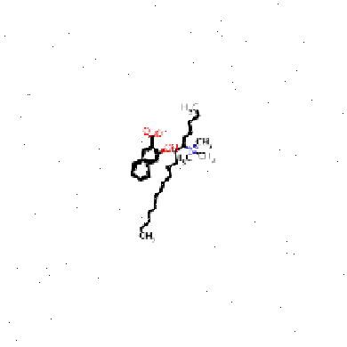 CCCCCCCCCCCCC(CCCCC)[N+](C)(C)C.O=C([O-])c1cc2ccccc2cc1O